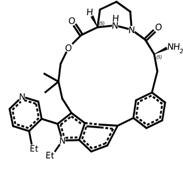 CCc1ccncc1-c1c2c3cc(ccc3n1CC)-c1cccc(c1)C[C@H](N)C(=O)N1CCC[C@H](N1)C(=O)OCC(C)(C)C2